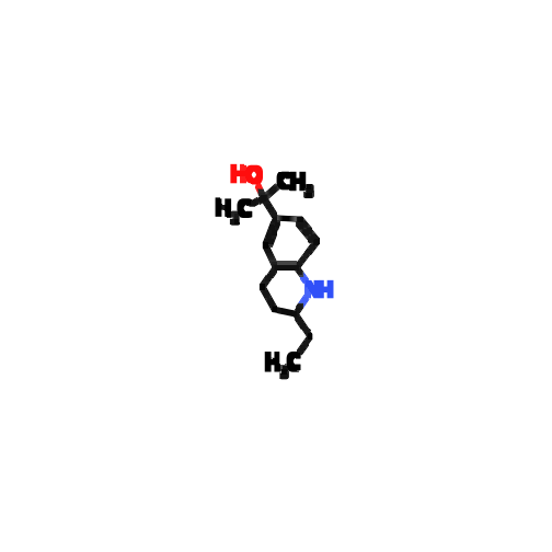 CCC1CCc2cc(C(C)(C)O)ccc2N1